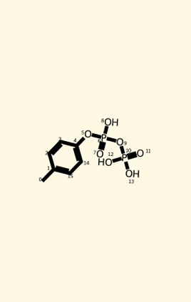 Cc1ccc(OP(=O)(O)OP(=O)(O)O)cc1